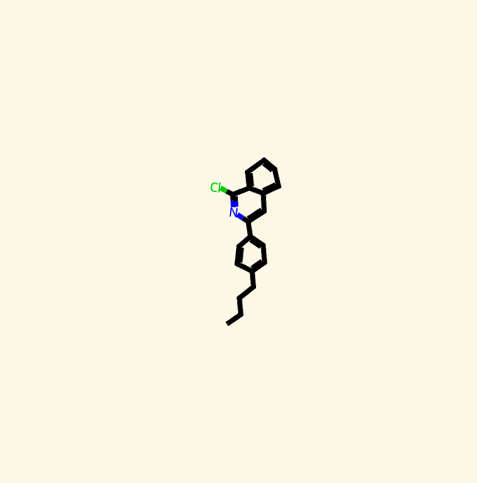 CCCCc1ccc(-c2cc3ccccc3c(Cl)n2)cc1